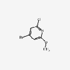 COc1cc(Br)cc(Cl)n1